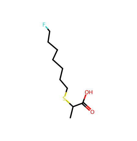 CC(SCCCCCCCF)C(=O)O